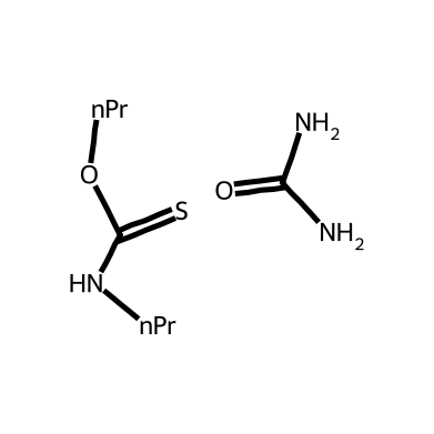 CCCNC(=S)OCCC.NC(N)=O